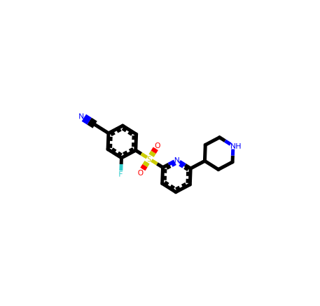 N#Cc1ccc(S(=O)(=O)c2cccc(C3CCNCC3)n2)c(F)c1